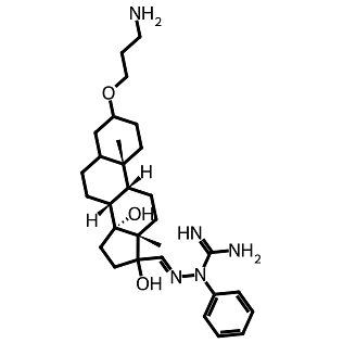 C[C@]12CCC(OCCCN)CC1CC[C@@H]1[C@H]2CC[C@]2(C)C(O)(/C=N/N(C(=N)N)c3ccccc3)CC[C@@]12O